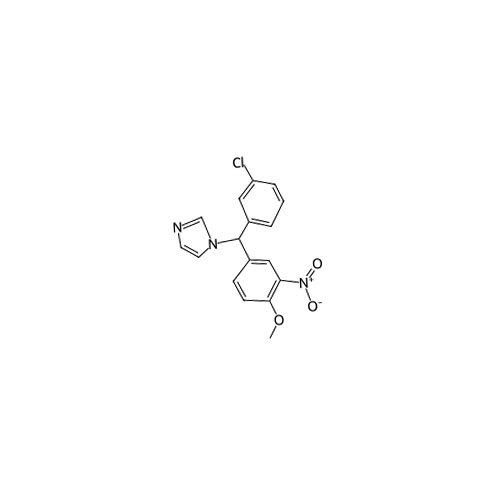 COc1ccc(C(c2cccc(Cl)c2)n2ccnc2)cc1[N+](=O)[O-]